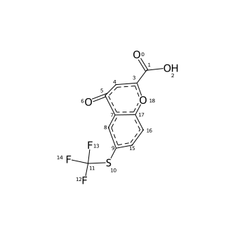 O=C(O)c1cc(=O)c2cc(SC(F)(F)F)ccc2o1